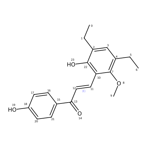 CCc1cc(CC)c(OC)c(/C=C/C(=O)c2ccc(O)cc2)c1O